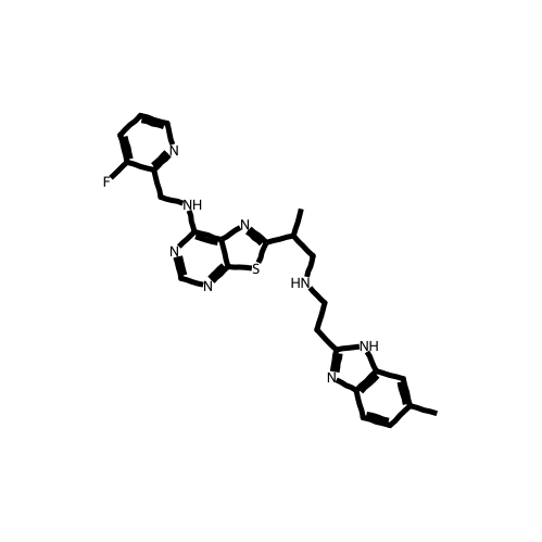 Cc1ccc2nc(CCNCC(C)c3nc4c(NCc5ncccc5F)ncnc4s3)[nH]c2c1